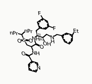 CCCC(CCC)S(=O)(=O)CC(NC(=O)c1cccnc1)C(=O)N[C@@H](Cc1cc(F)cc(F)c1)[C@H](O)CNCc1cccc(CC)c1